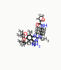 [2H]c1c(OC([2H])([2H])[2H])c(OC([2H])([2H])[2H])c(C)c2c(N)nc(N(C)C([2H])([2H])C([2H])([2H])C([2H])([2H])NC(=O)C3CCCO3)nc12